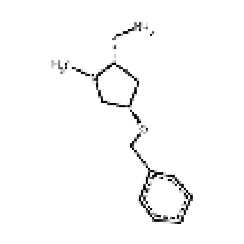 CN1C[C@H](OCc2ccccc2)C[C@H]1CN